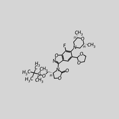 C[C@@H]1CN(c2c(C3OCCO3)cc3c(N4C(=O)OC[C@@H]4CO[Si](C)(C)C(C)(C)C)noc3c2F)C[C@H](C)O1